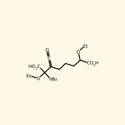 CCCCC(OCC)(C(=O)O)C(=C=O)CCCC(OCC)C(=O)O